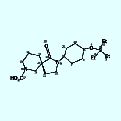 CC[Si](CC)(CC)OC1CCC(N2CC[C@@]3(CCCN(C(=O)O)C3)C2=O)CC1